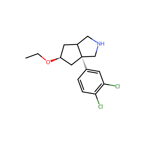 CCO[C@H]1CC2CNC[C@@]2(c2ccc(Cl)c(Cl)c2)C1